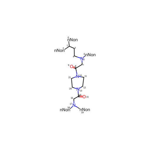 CCCCCCCCCC(CCCCCCCCC)CCN(CCCCCCCCC)CC(=O)N1CCN(C(=O)CN(CCCCCCCCC)CCCCCCCCC)CC1